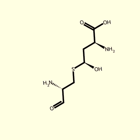 N[C@@H](C=O)CS[C@H](O)C[C@H](N)C(=O)O